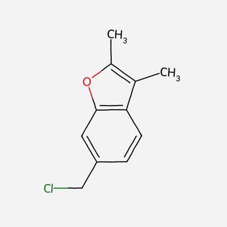 Cc1oc2cc(CCl)ccc2c1C